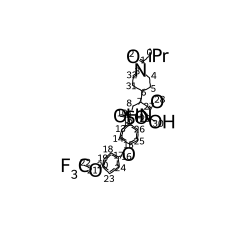 CC(C)C(=O)N1CCC(C(CS(=O)(=O)c2ccc(Oc3ccc(OC(F)(F)F)cc3)cc2)C(=O)NO)CC1